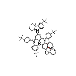 CC(C)(C)c1ccc(N2c3ccc(C(C)(C)C)cc3B3c4cc5oc6ccccc6c5cc4N(c4ccc(C(C)(C)C)cc4-c4ccccc4)c4cc(N5c6ccc(C(C)(C)C)cc6C6(C)CCCCC56C)cc2c43)cc1